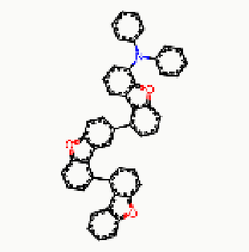 c1ccc(N(c2ccccc2)c2cccc3c2oc2cccc(-c4ccc5oc6cccc(-c7cccc8oc9ccccc9c78)c6c5c4)c23)cc1